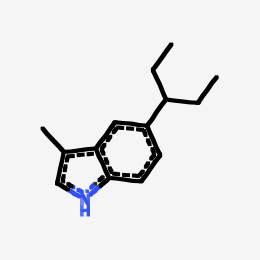 CCC(CC)c1ccc2[nH]cc(C)c2c1